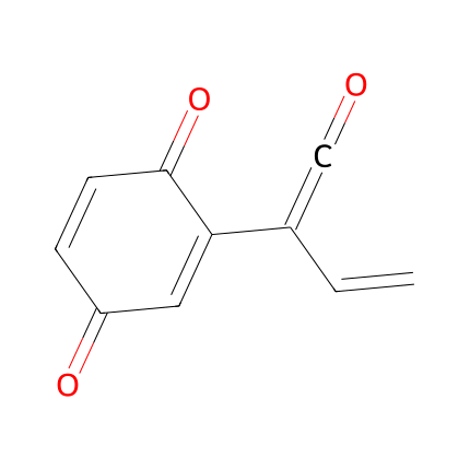 C=CC(=C=O)C1=CC(=O)C=CC1=O